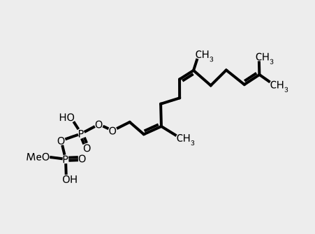 COP(=O)(O)OP(=O)(O)OOCC=C(C)CCC=C(C)CCC=C(C)C